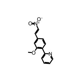 COc1cc(C=C[N+](=O)[O-])ccc1-c1ccccn1